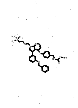 CC(C)(C)OC(=O)NCc1ccc(Oc2ccnc3c2c(-c2cccc(OCc4ccccc4)c2)cn3COCC[Si](C)(C)C)cc1